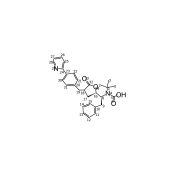 CC(C)(C)N(C(=O)O)[C@@H](Cc1ccccc1)[C@H]1CC(Cc2ccc(-c3ccccn3)cc2)C(=O)O1